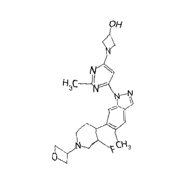 Cc1nc(N2CC(O)C2)cc(-n2ncc3cc(C)c(C4CCN(C5COC5)CC4F)cc32)n1